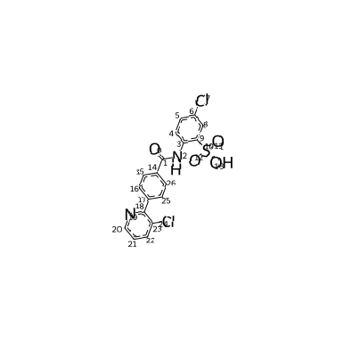 O=C(Nc1ccc(Cl)cc1S(=O)(=O)O)c1ccc(-c2ncccc2Cl)cc1